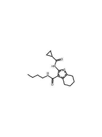 CCCCNC(=O)c1c(NC(=O)C2CC2)sc2c1CCCC2